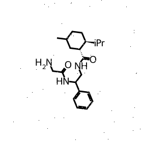 CC1CC[C@@H](C(C)C)[C@H](C(=O)NCC(NC(=O)CN)c2ccccc2)C1